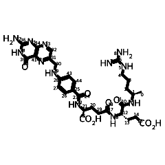 C[C@H](CCCNC(=N)N)NC(=O)[C@H](CCC(=O)O)NC(=O)CC[C@H](NC(=O)c1ccc(NCc2cnc3nc(N)[nH]c(=O)c3n2)cc1)C(=O)O